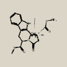 COC(=O)C1Cc2c([nH]c3ccccc23)C23C[C@H](C)[C@@H](C(=O)ON)[C@@H]2CC(=O)N13